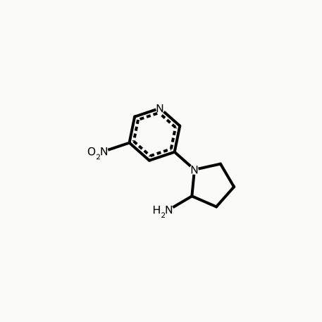 NC1CCCN1c1cncc([N+](=O)[O-])c1